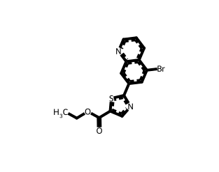 CCOC(=O)c1cnc(-c2cc(Br)c3cccnc3c2)s1